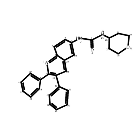 O=C(Nc1ccc2nc(-c3ccccc3)c(-c3ccccc3)cc2c1)NC1CCOCC1